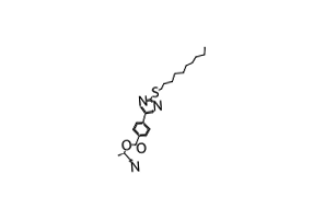 CCCCCCCCCCSc1ncc(-c2ccc(C(=O)O[C@H](C)C#N)cc2)cn1